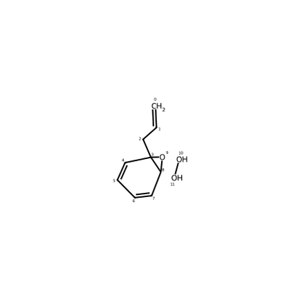 C=CCC12C=CC=CC1O2.OO